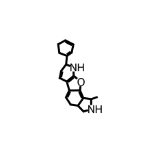 CC1NCC2CC=c3c4c(oc3=C21)NC(C1=CC=CCC1)C=C4